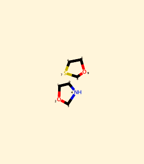 C1COCN1.C1CSCO1